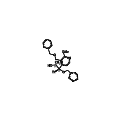 CC[C@](OCc1ccccc1)(c1ccnc(OC)c1COCc1ccccc1)[C@H](O)C(=O)O